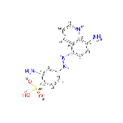 Nc1cc(N=Nc2ccc(N)c3ncccc23)ccc1S(=O)(=O)O